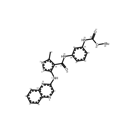 Cc1nsc(Nc2cnc3ccccc3n2)c1C(=O)Nc1cccc(NC(=O)OC(C)(C)C)c1